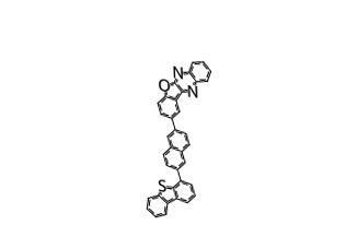 c1ccc2nc3c(nc2c1)oc1ccc(-c2ccc4cc(-c5cccc6c5sc5ccccc56)ccc4c2)cc13